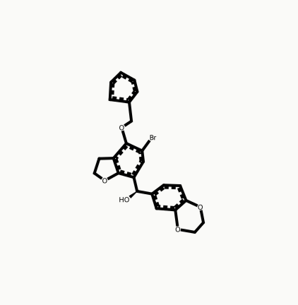 O[C@H](c1ccc2c(c1)OCCO2)c1cc(Br)c(OCc2ccccc2)c2c1OCC2